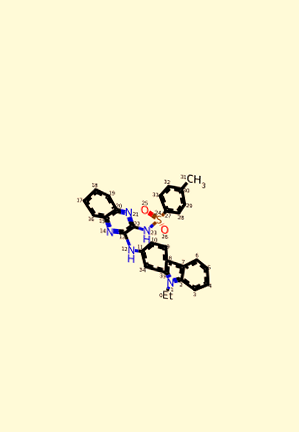 CCn1c2ccccc2c2ccc(Nc3nc4ccccc4nc3NS(=O)(=O)c3ccc(C)cc3)cc21